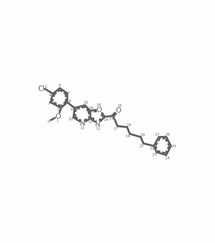 COc1cc(Cl)ccc1-c1cnc2nc(C(=O)CCCCCc3ccccc3)oc2c1